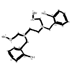 CC(C)(C)OCN(CCN(COC(C)(C)C)Cc1ccccc1O)Cc1ccccc1O